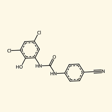 N#Cc1ccc(NC(=O)Nc2cc(Cl)cc(Cl)c2O)cc1